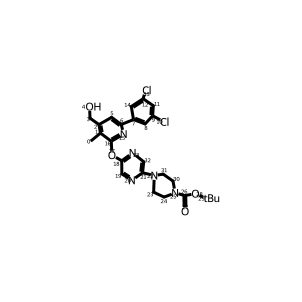 Cc1c(CO)cc(-c2cc(Cl)cc(Cl)c2)nc1Oc1cnc(N2CCN(C(=O)OC(C)(C)C)CC2)cn1